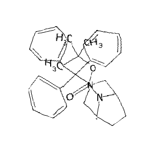 CC(C)(C)OC(=O)N1[C]2CCC1CN(C(c1ccccc1)(c1ccccc1)c1ccccc1)C2